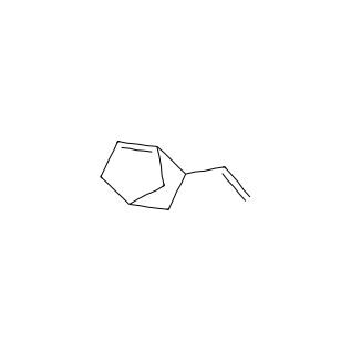 C=CC1CC2CC=C1C2